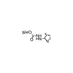 COC(=O)NNc1nccs1